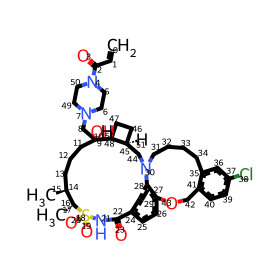 C=CC(=O)N1CCN(C[C@]2(O)CCC[C@H](C)[C@@H](C)S(=O)(=O)NC(=O)c3ccc4c(c3)N(CCCCc3cc(Cl)ccc3CO4)C[C@@H]3CC[C@H]32)CC1